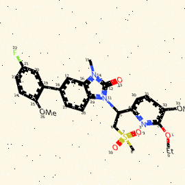 CCOc1nc(C(CS(C)(=O)=O)n2c(=O)n(C)c3cc(-c4cc(F)ccc4OC)ccc32)ccc1OC